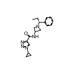 CC[C@@H](c1ccccc1)N1CC(NC(=O)c2cn(C3CC3)nn2)C1